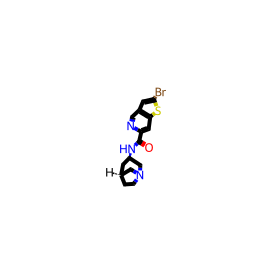 O=C(N[C@@H]1C[C@@H]2CCN(C2)C1)c1cc2sc(Br)cc2cn1